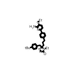 CCOc1ccc(-c2ccc(CCCC3(Cc4ccc(C(C)(C)C)cc4)N=NC(=O)N3CC)cc2)nc1N